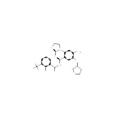 COc1cc2c(cc1OC1CCOC1)C(NC(C)c1cccc(C(F)(F)F)c1C)=NC1=NCCN12